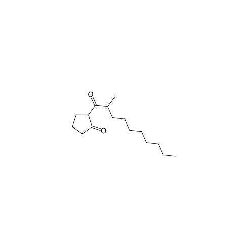 CCCCCCCCC(C)C(=O)C1CCCC1=O